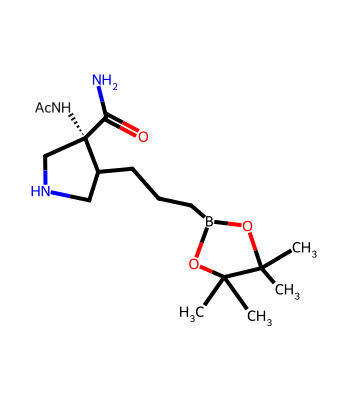 CC(=O)N[C@@]1(C(N)=O)CNCC1CCCB1OC(C)(C)C(C)(C)O1